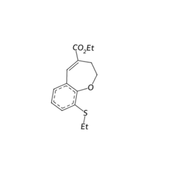 CCOC(=O)C1=Cc2cccc(SCC)c2OCC1